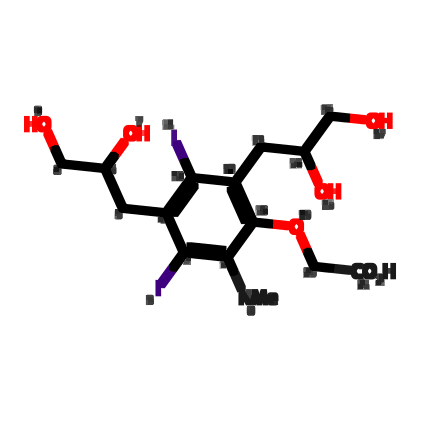 CNc1c(I)c(CC(O)CO)c(I)c(CC(O)CO)c1OCC(=O)O